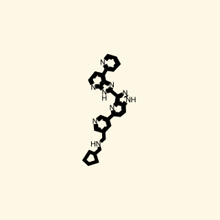 c1ccc(-c2ccnc3[nH]c(-c4n[nH]c5ccc(-c6cncc(CNCC7CCCC7)c6)nc45)nc23)nc1